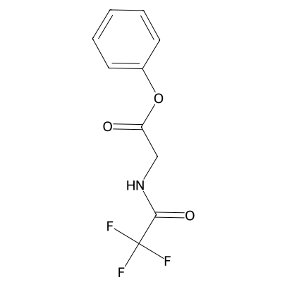 O=C(CNC(=O)C(F)(F)F)Oc1ccccc1